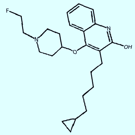 Oc1nc2ccccc2c(OC2CCN(CCF)CC2)c1CCCCCC1CC1